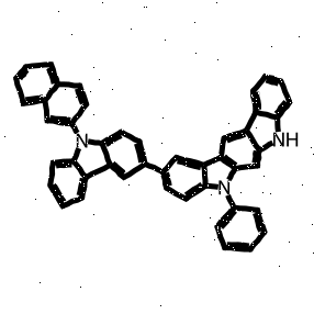 c1ccc(-n2c3ccc(-c4ccc5c(c4)c4ccccc4n5-c4ccc5ccccc5c4)cc3c3cc4c(cc32)[nH]c2ccccc24)cc1